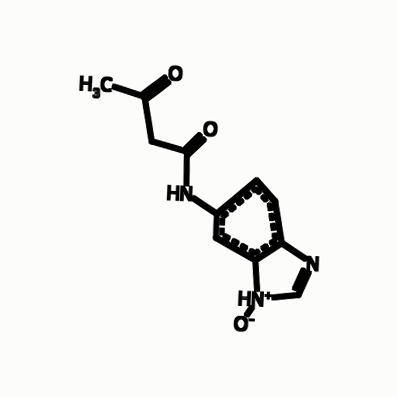 CC(=O)CC(=O)Nc1ccc2c(c1)[NH+]([O-])C=N2